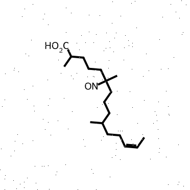 C/C=C\CCC(C)CCCC(C)(CCCC(C)C(=O)O)N=O